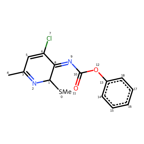 CSC1N=C(C)C=C(Cl)/C1=N/C(=O)Oc1ccccc1